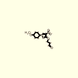 COC1CCC(n2cc([N+](=O)[O-])c(OCCC=O)n2)CC1